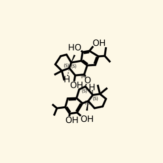 CC(C)c1cc2c(c(O)c1O)[C@@]1(C)CCCC(C)(C)[C@@H]1C(O)[C@@H]2O[C@H]1Cc2cc(C(C)C)c(O)c(O)c2[C@@]2(C)CCCC(C)(C)[C@H]12